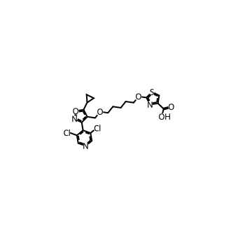 O=C(O)c1csc(OCCCCCOCc2c(-c3c(Cl)cncc3Cl)noc2C2CC2)n1